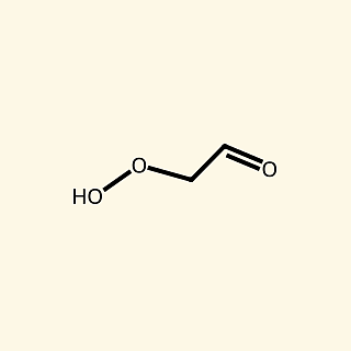 O=CCOO